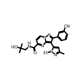 CCn1nc(C)cc1-c1c(-c2cccc(C#N)c2)nn2ccc(C(=O)NCC(C)(C)O)nc12